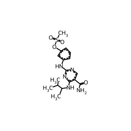 CC(C)C(C)Nc1nc(Nc2cccc(OS(C)(=O)=O)c2)ncc1C(N)=O